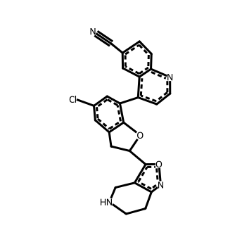 N#Cc1ccc2nccc(-c3cc(Cl)cc4c3OC(c3onc5c3CNCC5)C4)c2c1